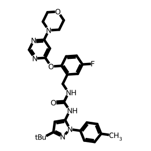 Cc1ccc(-n2nc(C(C)(C)C)cc2NC(=O)NCc2cc(F)ccc2Oc2cc(N3CCOCC3)ncn2)cc1